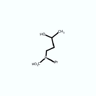 CC(O)CCN(C(=O)O)C(C)C